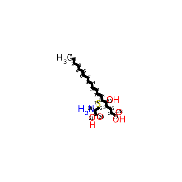 CCCCCC=CCC=CC=CC=C[C@@H](SC[C@H](N)C(=O)O)[C@@H](O)CCCC(=O)O